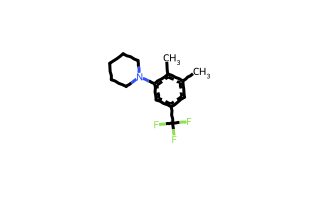 Cc1cc(C(F)(F)F)cc(N2CCCCC2)c1C